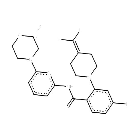 C[C@@H]1CN(c2cccc(NC(=O)c3ccc(I)cc3N3CCC(=C(F)F)CC3)n2)CCO1